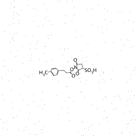 Cc1ccc(CCC(=O)ON2C(=O)CC(S(=O)(=O)O)C2=O)cc1